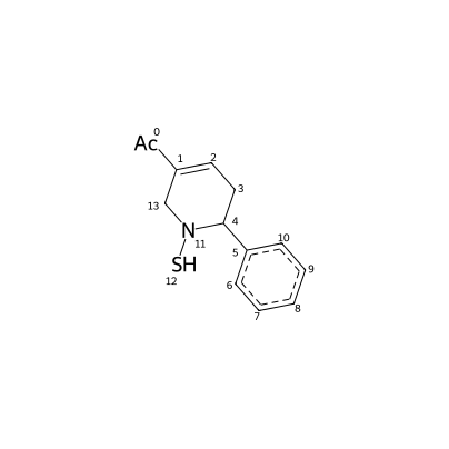 CC(=O)C1=CCC(c2ccccc2)N(S)C1